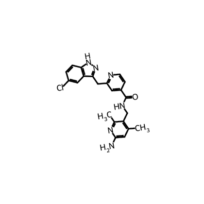 Cc1cc(N)nc(C)c1CNC(=O)c1ccnc(Cc2n[nH]c3ccc(Cl)cc23)c1